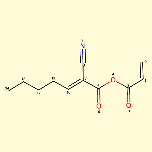 C=CC(=O)OC(=O)C(C#N)=CCCCC